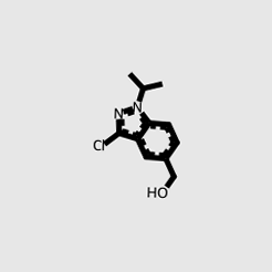 CC(C)n1nc(Cl)c2cc(CO)ccc21